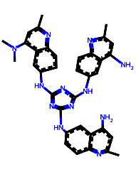 Cc1cc(N)c2cc(Nc3nc(Nc4ccc5nc(C)cc(N)c5c4)nc(Nc4ccc5nc(C)cc(N(C)C)c5c4)n3)ccc2n1